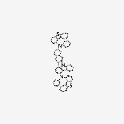 c1ccc(N(c2ccc3cc4c5ccc(N(c6ccccc6)c6cccc7sc8ccccc8c67)c6c7ccccc7n(c4cc3c2)c56)c2cccc3sc4ccccc4c23)cc1